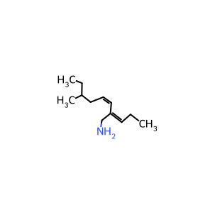 CC/C=C(\C=C/CC(C)CC)CN